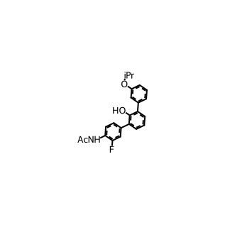 CC(=O)Nc1ccc(-c2cccc(-c3cccc(OC(C)C)c3)c2O)cc1F